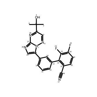 CC(C)(O)c1cnn2c(-c3cccc(-c4c(C#N)ccc(F)c4F)c3)cnc2n1